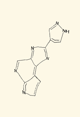 C1=Cc2c3c(cnc2=N1)=NC(c1cn[nH]c1)=N3